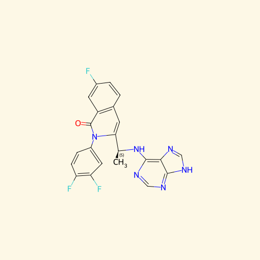 C[C@H](Nc1ncnc2[nH]cnc12)c1cc2ccc(F)cc2c(=O)n1-c1ccc(F)c(F)c1